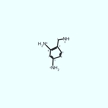 [NH]Cc1ccc(N)cc1N